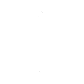 CC1=CC(C)(NS(=O)(=O)C2CCCCC2)C=C(C)C1c1ccc(C2C(C)=CC(C)(NS(=O)(=O)C3CCCCC3)C=C2C)c2c1C(=O)c1ccccc1C2=O